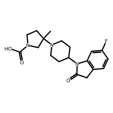 CC1(N2CCC(N3C(=O)Cc4ccc(F)cc43)CC2)CCN(C(=O)O)C1